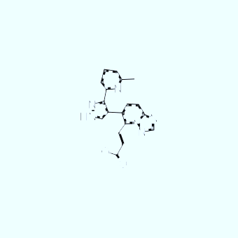 Cc1cccc(-c2n[nH]cc2-c2ccc3ncnn3c2/C=C/C(=O)O)n1